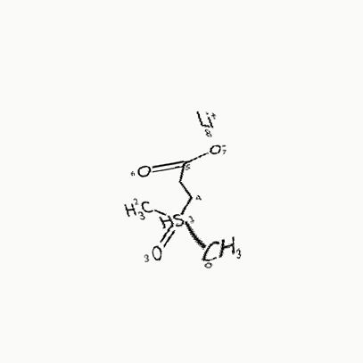 C[SH](C)(=O)CC(=O)[O-].[Li+]